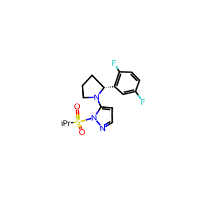 CC(C)S(=O)(=O)n1nccc1N1CCC[C@@H]1c1cc(F)ccc1F